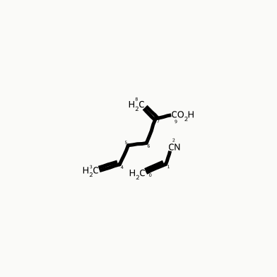 C=CC#N.C=CCCC(=C)C(=O)O